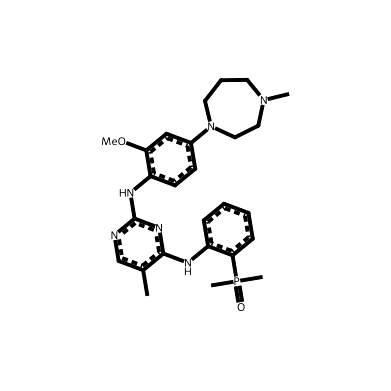 COc1cc(N2CCCN(C)CC2)ccc1Nc1ncc(C)c(Nc2ccccc2P(C)(C)=O)n1